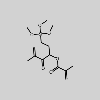 C=C(C)C(=O)OC(CC[Si](OC)(OC)OC)C(=O)C(=C)C